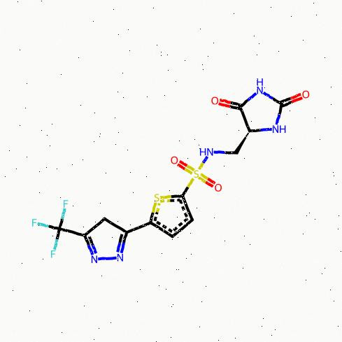 O=C1NC(=O)[C@H](CNS(=O)(=O)c2ccc(C3=NN=C(C(F)(F)F)C3)s2)N1